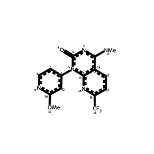 CNc1nc(=O)n(-c2ccnc(OC)c2)c2nc(C(F)(F)F)ccc12